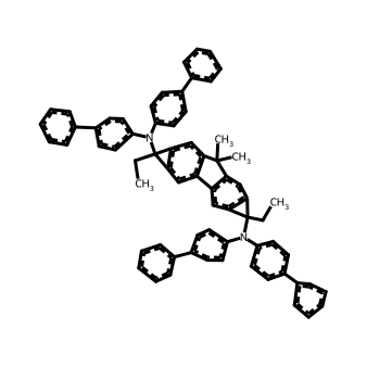 CCC1(N(c2ccc(-c3ccccc3)cc2)c2ccc(-c3ccccc3)cc2)c2cc3c(cc21)C(C)(C)c1cc2c(cc1-3)C2(CC)N(c1ccc(-c2ccccc2)cc1)c1ccc(-c2ccccc2)cc1